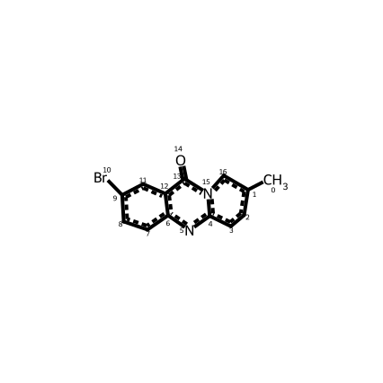 Cc1ccc2nc3ccc(Br)cc3c(=O)n2c1